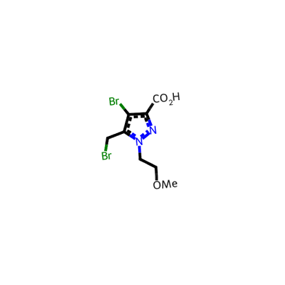 COCCn1nc(C(=O)O)c(Br)c1CBr